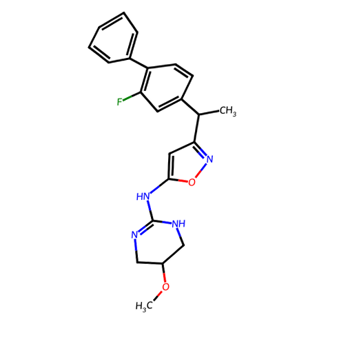 COC1CN=C(Nc2cc(C(C)c3ccc(-c4ccccc4)c(F)c3)no2)NC1